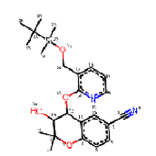 CC1(C)Oc2ccc(C#N)cc2C(Oc2ncccc2CO[Si](C)(C)C(C)(C)C)C1O